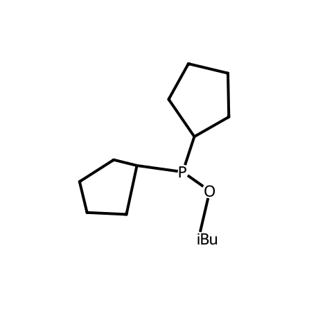 CCC(C)OP(C1CCCC1)C1CCCC1